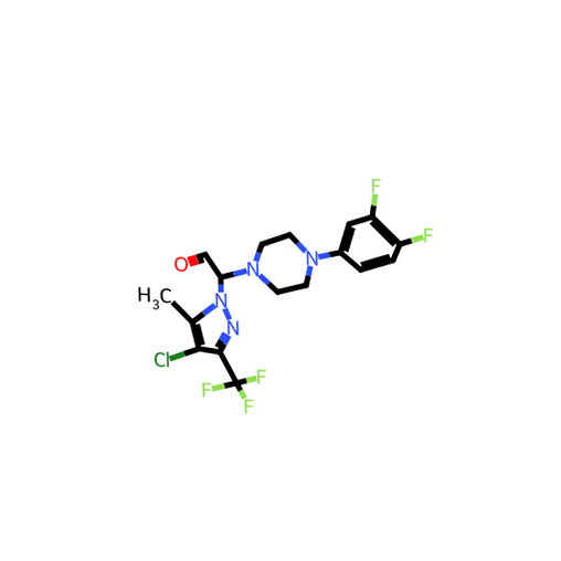 Cc1c(Cl)c(C(F)(F)F)nn1C(C=O)N1CCN(c2ccc(F)c(F)c2)CC1